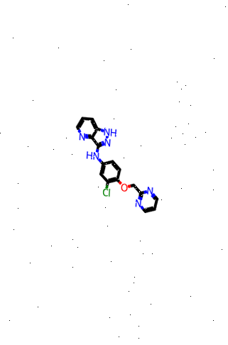 Clc1cc(Nc2n[nH]c3cccnc23)ccc1OCc1ncccn1